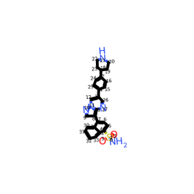 NS(=O)(=O)c1ccc(-c2cnn3cc(-c4ccc(C5CCNCC5)cc4)cnc23)c2ccccc12